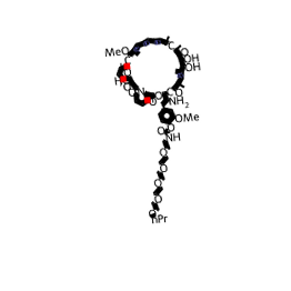 CCCOCCOCCOCCOCCOCCNC(=O)O[C@@H]1CC[C@@H](C[C@@H](N)[C@@H]2CC(=O)[C@H](C)/C=C(\C)C(O)[C@@H](O)C(=O)[C@H](C)C[C@H](C)/C=C/C=C/C=C(\C)[C@@H](OC)C[C@@H]3CC[C@@H](C)[C@@](O)(O3)C(=O)C(=O)N3CCCC[C@H]3C(=O)O2)C[C@H]1OC